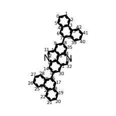 c1ccc2c(c1)cc(-c1cc3cnc4cc(-c5cc6ccccc6c6ccccc56)cc5cnc(c1)c3c54)c1ccccc12